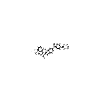 COc1c(C)cnc(Cn2ncc3cnc(Nc4ccc(N5CCOCC5)cc4)nc32)c1C